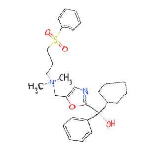 C[N+](C)(CCCS(=O)(=O)c1ccccc1)Cc1cnc([C@](O)(c2ccccc2)C2CCCCC2)o1